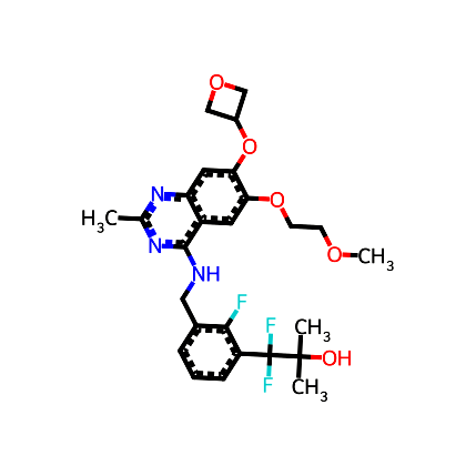 COCCOc1cc2c(NCc3cccc(C(F)(F)C(C)(C)O)c3F)nc(C)nc2cc1OC1COC1